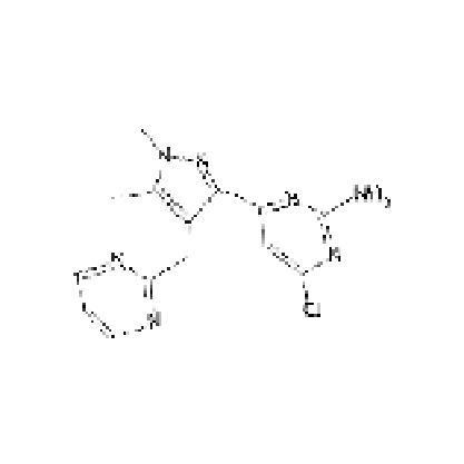 Cc1c(Cc2ncccn2)c(-c2cc(Cl)nc(N)n2)nn1C